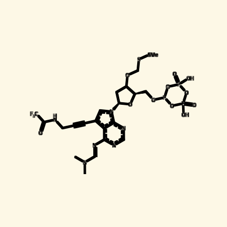 CSSCOC1C[C@H](n2cc(C#CCNC(=O)C(F)(F)F)c3c(/N=C/N(C)C)ncnc32)O[C@@H]1COP1OP(=O)(O)OP(=O)(O)O1